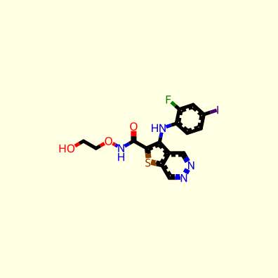 O=C(NOCCO)c1sc2cnncc2c1Nc1ccc(I)cc1F